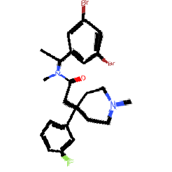 CC(c1cc(Br)cc(Br)c1)N(C)C(=O)CC1(c2cccc(F)c2)CCN(C)CC1